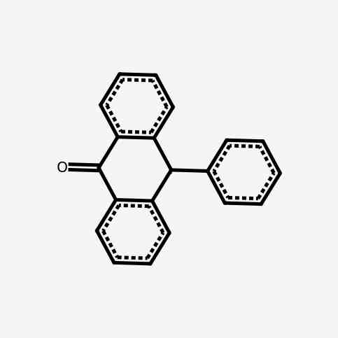 O=C1c2ccccc2[C](c2ccccc2)c2ccccc21